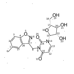 Cc1ccc2onc(Cn3c(=O)ccn([C@@H]4O[C@H](CO)C(O)[C@@H]4O)c3=O)c2c1